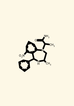 CC1CN(C(C)C(N)=O)c2cccc([N+](=O)[O-])c2C(c2ccccc2)N1